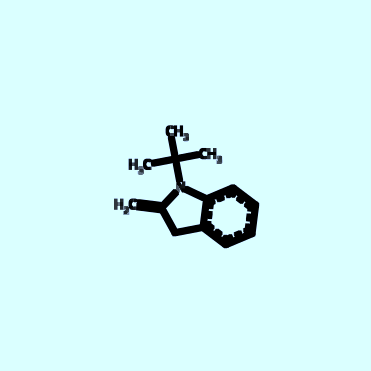 C=C1Cc2ccccc2N1C(C)(C)C